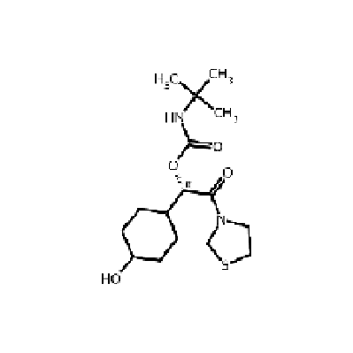 CC(C)(C)NC(=O)O[C@H](C(=O)N1CCSC1)C1CCC(O)CC1